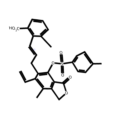 C=Cc1c(C)c2c(c(OS(=O)(=O)c3ccc(C)cc3)c1C/C=C/c1c(C)cccc1C(=O)O)C(=O)OC2